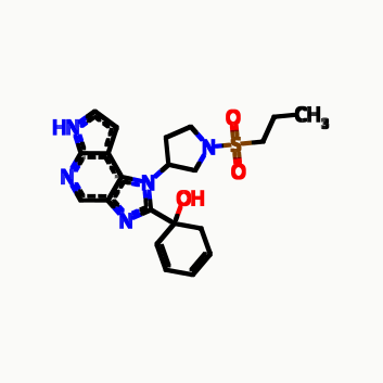 CCCS(=O)(=O)N1CCC(n2c(C3(O)C=CC=CC3)nc3cnc4[nH]ccc4c32)C1